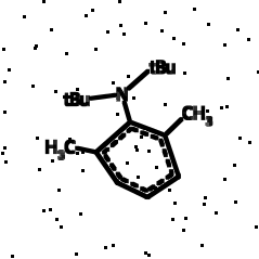 Cc1cccc(C)c1N(C(C)(C)C)C(C)(C)C